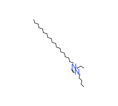 CCCCCCCCCCCCCCCCCCCN1C=CN(CCCCC)C1CC